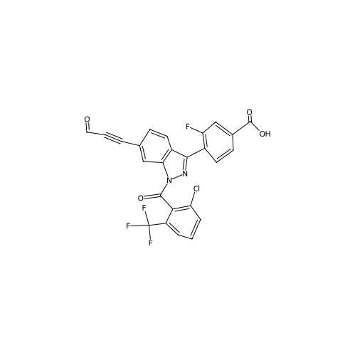 O=CC#Cc1ccc2c(-c3ccc(C(=O)O)cc3F)nn(C(=O)c3c(Cl)cccc3C(F)(F)F)c2c1